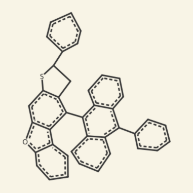 c1ccc(-c2c3ccccc3c(-c3c4c(cc5oc6ccccc6c35)SC(c3ccccc3)C4)c3ccccc23)cc1